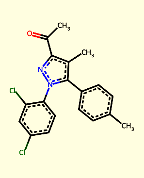 CC(=O)c1nn(-c2ccc(Cl)cc2Cl)c(-c2ccc(C)cc2)c1C